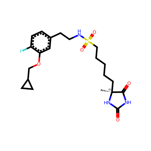 C[C@@]1(CCCCCS(=O)(=O)NCCc2ccc(F)c(OCC3CC3)c2)NC(=O)NC1=O